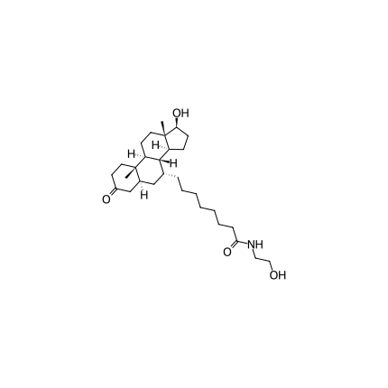 C[C@]12CCC(=O)C[C@@H]1C[C@@H](CCCCCCCC(=O)NCCO)[C@@H]1[C@@H]2CC[C@]2(C)[C@@H](O)CC[C@@H]12